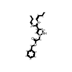 CC\C=C/N=C(\N=C/CC)C1=CN(CC(=O)OCc2ccccc2)NS1